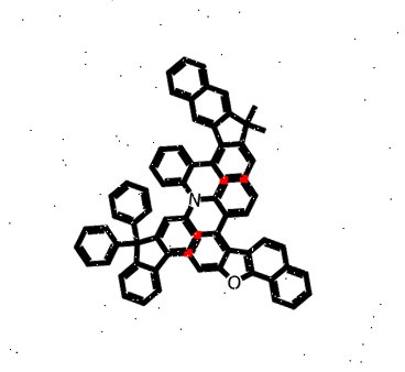 CC1(C)c2cc3ccccc3cc2-c2c(-c3ccccc3N(c3ccc4c(c3)C(c3ccccc3)(c3ccccc3)c3ccccc3-4)c3ccccc3-c3cccc4oc5c6ccccc6ccc5c34)cccc21